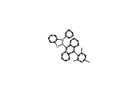 Cc1cc(C)c(-c2c3ccccc3c(B3Oc4ccccc4N3c3ccccc3)c3ccccc23)c(C)c1